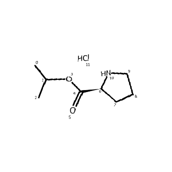 CC(C)OC(=O)[C@@H]1CCCN1.Cl